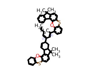 C=CC/C=C(\C=C(/C)c1cccc2c1Oc1c(ccc3c1-c1ccccc1C3(C)C)S2)C1C=CC2c3c(ccc4c3OC3=C(C=CCC3)S4)C(C)(C)C2C1